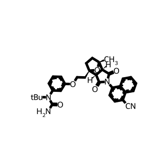 CC(C)(C)N(C(N)=O)c1cccc(OCC[C@@]23CC[C@@](C)(O2)[C@H]2C(=O)N(c4ccc(C#N)c5ccccc45)C(=O)[C@H]23)c1